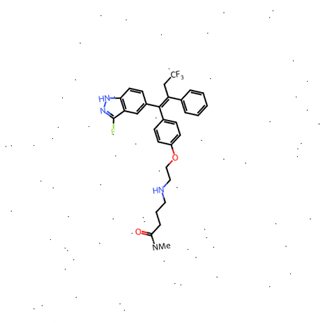 CNC(=O)CCCNCCOc1ccc(/C(=C(/CC(F)(F)F)c2ccccc2)c2ccc3[nH]nc(F)c3c2)cc1